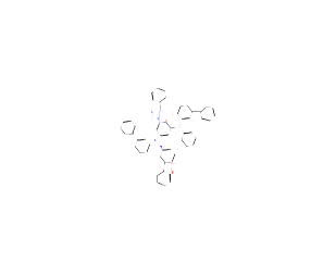 c1ccc(-c2cccc(N(c3cc(C(c4ccccc4)c4cccc5c4sc4ccccc45)c4oc(-c5ccccc5)nc4c3)c3ccc4oc5ccccc5c4c3)c2)cc1